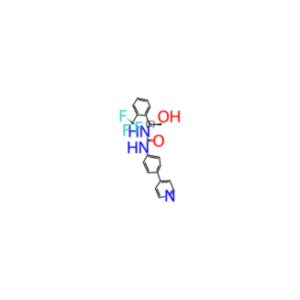 O=C(Nc1ccc(-c2ccncc2)cc1)N[C@H](CO)c1ccccc1C(F)(F)F